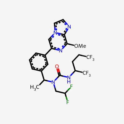 COc1nc(-c2cccc(C(C)N(CC(F)F)C(=O)NC(CCC(F)(F)F)C(F)(F)F)c2)cn2ccnc12